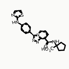 O=C(NC1(C(=O)O)CCCC1)c1cccn2c(-c3ccc(Nc4nccs4)cc3)nnc12